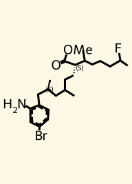 COC(=O)[C@@H](CCC(C)C[C@H](C)Cc1ccc(Br)cc1N)C(C)CCCC(C)F